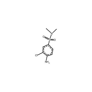 CN(C)S(=O)(=O)c1ccc(N)c(Cl)c1